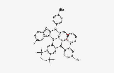 Cc1cc2c3c(c1)N(c1ccc(C(C)(C)C)cc1)c1oc4ccc(C)cc4c1B3c1cc3c(cc1N2c1ccc(C(C)(C)C)cc1-c1ccccc1)C(C)(C)CCC3(C)C